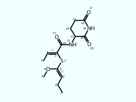 C/C=C(\S/C(=C/CC)OC)C(=O)NC1CCC(=O)NC1=O